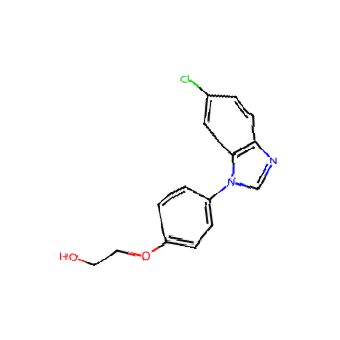 OCCOc1ccc(-n2cnc3ccc(Cl)cc32)cc1